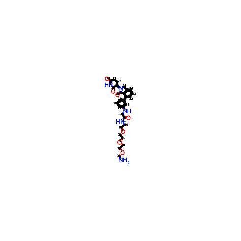 NCOCCOCCOCCNC(=O)CNc1cccc(-c2cccc3c2C(=O)N(C2CCC(=O)NC2=O)C3)c1